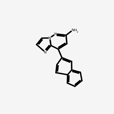 Nc1cc(-c2ccc3ccccc3c2)c2nccn2n1